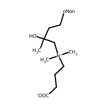 CCCCCCCCCCCC(C)(O)C[N+](C)(C)CCCC(=O)[O-]